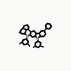 Cc1cc(C)cc(N2c3cc4c(cc3-c3cccc5cccc2c35)c2cc(-c3ccccc3)ccc2n4-c2cc(C)cc(C)c2)c1